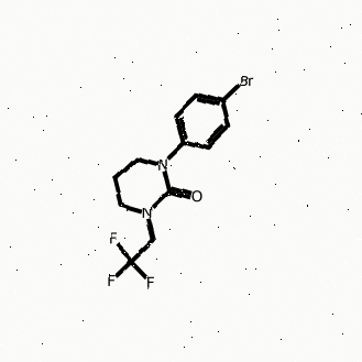 O=C1N(CC(F)(F)F)CCCN1c1ccc(Br)cc1